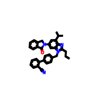 CCCc1nc2c(C(C)C)cc(N3Cc4ccccc4C3=O)cc2n1Cc1ccc(-c2ccccc2C#N)cc1